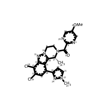 COc1cnc(C(=O)N2CCn3nc4c(Cl)c(Cl)cc(-c5ccn(C)n5)c4c3[C@H]2C)nc1